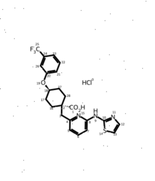 Cl.O=C(O)[C@]1(Cc2cccc(Nc3nccs3)n2)CC[C@@H](Oc2cccc(C(F)(F)F)c2)CC1